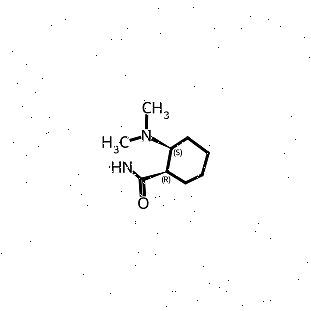 CN(C)[C@H]1CCCC[C@H]1C([NH])=O